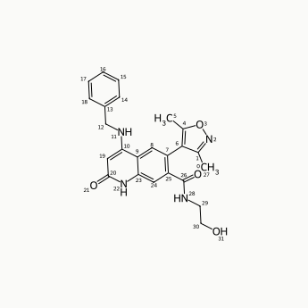 Cc1noc(C)c1-c1cc2c(NCc3ccccc3)cc(=O)[nH]c2cc1C(=O)NCCO